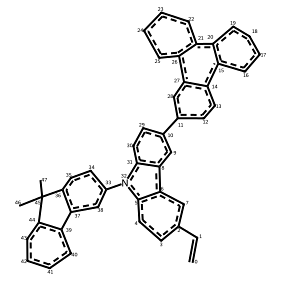 C=Cc1ccc2c(c1)c1cc(-c3ccc4c5ccccc5c5ccccc5c4c3)ccc1n2-c1ccc2c(c1)-c1ccccc1C2(C)C